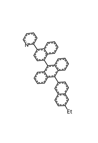 CCc1ccc2cc(-c3c4ccccc4c(-c4ccc(-c5ccccn5)c5ccccc45)c4ccccc34)ccc2c1